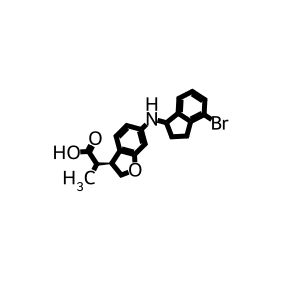 CC(C(=O)O)[C@@H]1COc2cc(NC3CCc4c(Br)cccc43)ccc21